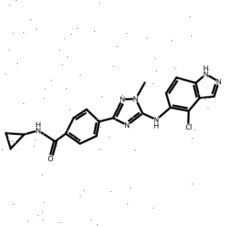 Cn1nc(-c2ccc(C(=O)NC3CC3)cc2)nc1Nc1ccc2[nH]ncc2c1Cl